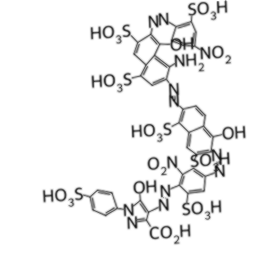 Nc1c(N=Nc2ccc3c(O)c(/N=N\c4cc([N+](=O)[O-])c(/N=N/c5c(C(=O)O)nn(-c6ccc(S(=O)(=O)O)cc6)c5O)c(S(=O)(=O)O)c4)c(S(=O)(=O)O)cc3c2S(=O)(=O)O)cc(S(=O)(=O)O)c2cc(S(=O)(=O)O)c(/N=N\c3ccc([N+](=O)[O-])cc3S(=O)(=O)O)c(O)c12